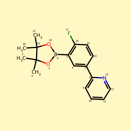 CC1(C)OB(c2cc(-c3ccccn3)ccc2F)OC1(C)C